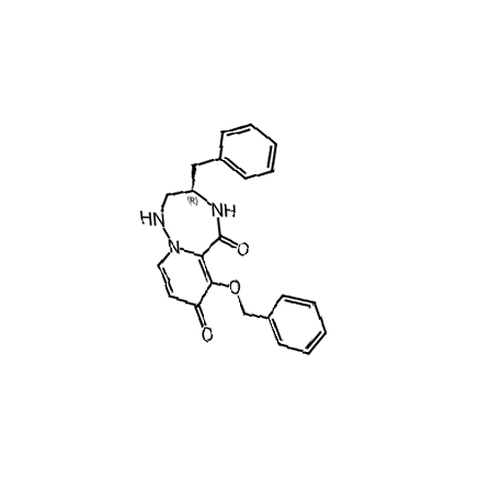 O=C1N[C@H](Cc2ccccc2)CNn2ccc(=O)c(OCc3ccccc3)c21